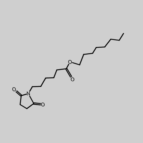 CCCCCCCCOC(=O)CCCCCN1C(=O)CCC1=O